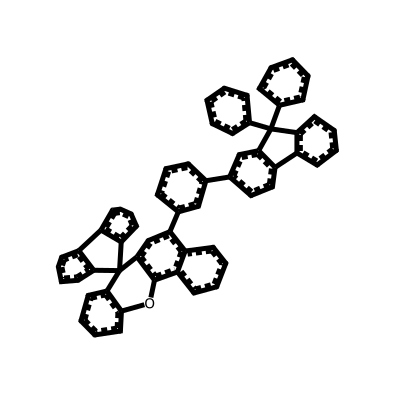 c1ccc(C2(c3ccccc3)c3ccccc3-c3ccc(-c4cccc(-c5cc6c(c7ccccc57)Oc5ccccc5C65c6ccccc6-c6ccccc65)c4)cc32)cc1